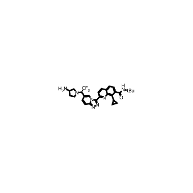 CC(C)(C)NC(=O)c1ccc2ccc(-c3nnc4ccc([C@@H](N5CCC(N)C5)C(F)(F)F)cn34)nc2c1C1CC1